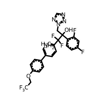 C=C(/C=C\C(=C/N)c1ccc(OCC(F)(F)F)cc1)C(F)(F)C(O)(Cn1ncnn1)c1ccc(F)cc1F